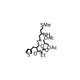 CCN(C(=O)OC(COC(C)=O)COC(C)=O)C(=O)C(CSSCC(N)CCSC)Cc1ccsc1